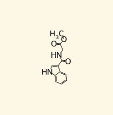 COC(=O)CNC(=O)c1c[nH]c2ccccc12